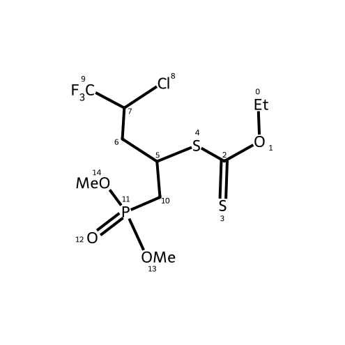 CCOC(=S)SC(CC(Cl)C(F)(F)F)CP(=O)(OC)OC